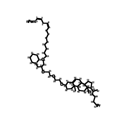 CCCCC/C=C\C/C=C\CCCCCCCCOCC(CN1CCCCC1)OCCOCCOC1CCC2(C)C(=CCC3C2CCC2(CC)C(C(C)CCCC(C)C)CCC32)C1